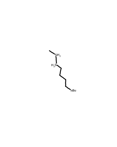 CCCCCCCC[SiH2][SiH2]C